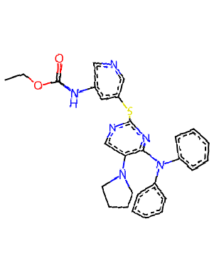 CCOC(=O)Nc1cncc(Sc2ncc(N3CCCC3)c(N(c3ccccc3)c3ccccc3)n2)c1